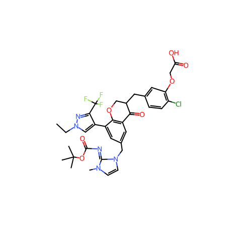 CCn1cc(-c2cc(Cn3ccn(C)c3=NC(=O)OC(C)(C)C)cc3c2OCC(Cc2ccc(Cl)c(OCC(=O)O)c2)C3=O)c(C(F)(F)F)n1